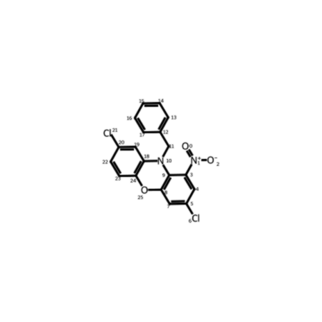 O=[N+]([O-])c1cc(Cl)cc2c1N(Cc1ccccc1)c1cc(Cl)ccc1O2